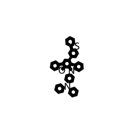 c1ccc(N(c2ccccc2)c2ccc(-n3c4ccccc4c4c(-c5ccc6sc7ccccc7c6c5)cc5c6ccccc6oc5c43)cc2)cc1